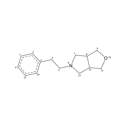 c1ccc(CCN2CC3COCC3C2)cc1